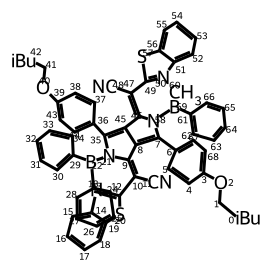 CCC(C)COc1ccc(-c2c3/c(=C(\C#N)c4nc5ccccc5s4)n(B(c4ccccc4)c4ccccc4)c(-c4ccc(OCC(C)CC)cc4)c3/c(=C(\C#N)c3nc4ccccc4s3)n2B(C)c2ccccc2)cc1